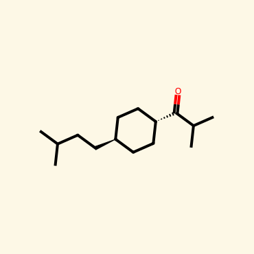 CC(C)CC[C@H]1CC[C@H](C(=O)C(C)C)CC1